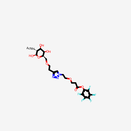 CC(=O)N[C@@H]1[C@@H](O)[C@@H](O)[C@@H](COCCc2cn(CCOCCC(=O)Oc3c(F)c(F)c(F)c(F)c3F)nn2)O[C@H]1O